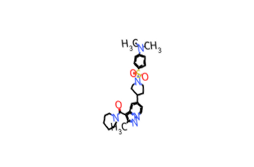 Cc1nn2ccc(C3CCN(S(=O)(=O)c4ccc(N(C)C)cc4)CC3)cc2c1C(=O)N1CCCCCC1